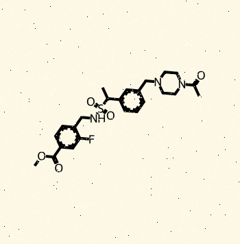 COC(=O)c1ccc(CNS(=O)(=O)C(C)c2cccc(CN3CCN(C(C)=O)CC3)c2)c(F)c1